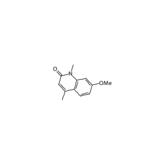 COc1ccc2c(C)cc(=O)n(C)c2c1